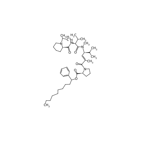 CCCCCCCCCC(OC(=O)[C@@H]1CCCN1C(=O)/C(C)=C/[C@H](C(C)C)N(C)C(=O)[C@@H](NC(=O)[C@H]1CCCCN1C(C)C)C(C)C)c1ccccc1